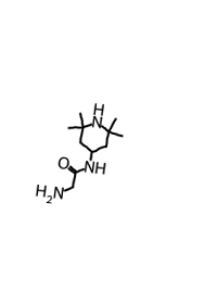 CC1(C)CC(NC(=O)CN)CC(C)(C)N1